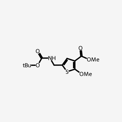 COC(=O)c1cc(CNC(=O)OC(C)(C)C)sc1OC